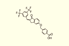 O=C(O)c1ccc(COc2ccc3c(c2)CC(=Cc2cc(C(F)(F)F)cc(C(F)(F)F)c2)C3=O)cc1